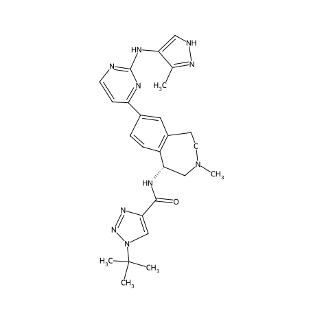 Cc1n[nH]cc1Nc1nccc(-c2ccc3c(c2)CCN(C)C[C@@H]3NC(=O)c2cn(C(C)(C)C)nn2)n1